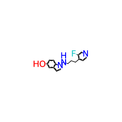 Oc1ccc2c(ccn2NCCCc2ccncc2F)c1